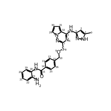 Cc1cc(Nc2nc(SOCc3ccc(C(=O)Nc4ccccc4N)cc3)nn3cccc23)n[nH]1